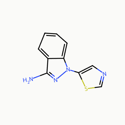 Nc1nn(-c2cncs2)c2ccccc12